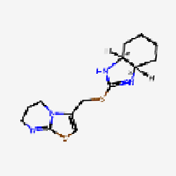 C1=C(CSC2=N[C@H]3CCCC[C@H]3N2)N2CCCN=C2S1